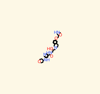 O=C(NC[C@H](O)CN1CCc2cc(OCC3CNCO3)ccc2C1)c1cncc(NC2CCOCC2)c1